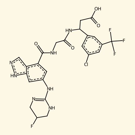 O=C(O)CC(NC(=O)CNC(=O)c1cc(NC2=NCC(F)CN2)cc2[nH]ncc12)c1cc(Cl)cc(C(F)(F)F)c1